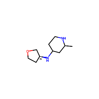 CC1CC(N[C@H]2CCOC2)CCN1